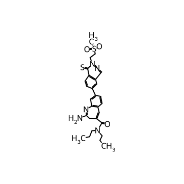 CCCN(CCC)C(=O)C1=Cc2ccc(-c3ccc4c(=S)n(CCS(C)(=O)=O)ncc4c3)cc2N=C(N)C1